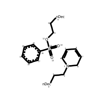 CCCCCCCCCCCCN1C=CC=CC1.CCCCCCCCCCCCOS(=O)(=O)c1ccccc1